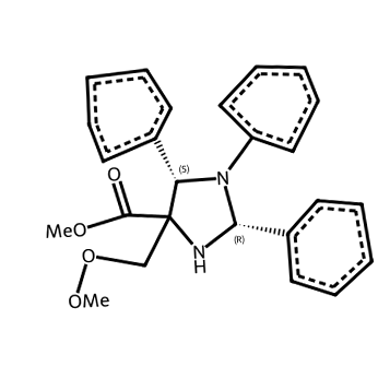 COOCC1(C(=O)OC)N[C@@H](c2ccccc2)N(c2ccccc2)[C@H]1c1ccccc1